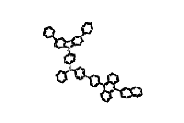 c1ccc(-c2ccc3c(c2)c2cc(-c4ccccc4)ccc2n3-c2ccc(N(c3ccccc3)c3ccc(-c4ccc(-c5c6ccccc6c(-c6ccc7ccccc7c6)c6ccccc56)cc4)cc3)cc2)cc1